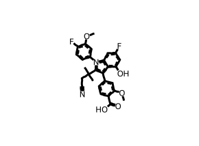 COc1cc(-n2c(C(C)(C)CC#N)c(-c3ccc(C(=O)O)c(OC)c3)c3c(O)cc(F)cc32)ccc1F